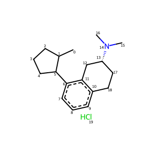 CC1CCCC1c1cccc2c1C[C@H](N(C)C)CC2.Cl